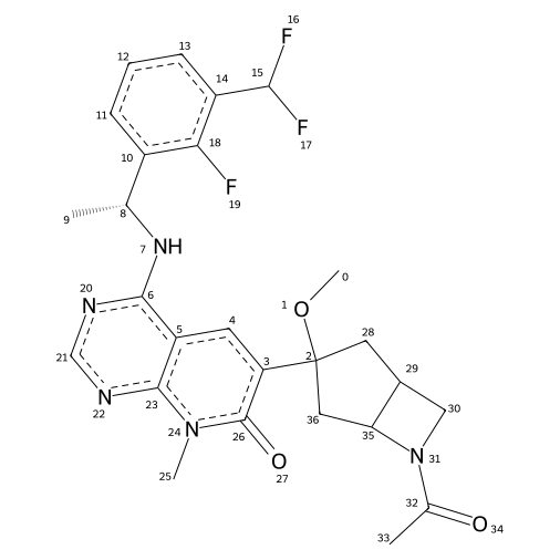 COC1(c2cc3c(N[C@H](C)c4cccc(C(F)F)c4F)ncnc3n(C)c2=O)CC2CN(C(C)=O)C2C1